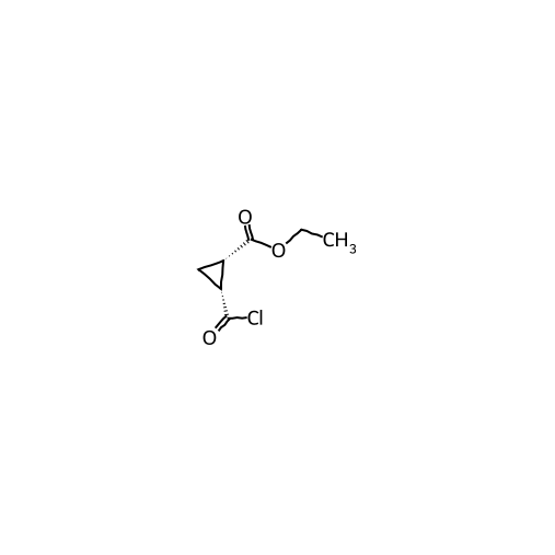 CCOC(=O)[C@H]1C[C@H]1C(=O)Cl